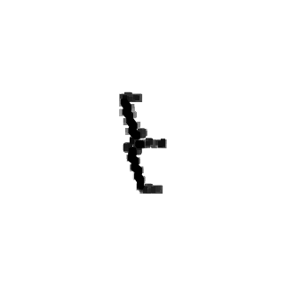 CCCCCCCCCCCCCCCCCC(=O)OC(CCCCC)OC(=O)CCCCCCCCCCCCCCCCC